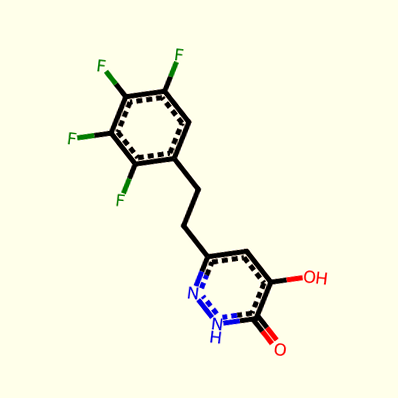 O=c1[nH]nc(CCc2cc(F)c(F)c(F)c2F)cc1O